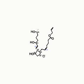 C=CCOC(=O)CCC/C=C\C[C@@H]1[C@@H](/C=C/[C@@H](O)CCC[C@@H](C)O)[C@H](O)C[C@H]1Cl